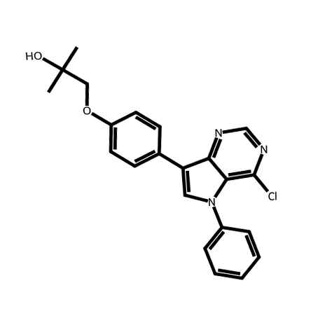 CC(C)(O)COc1ccc(-c2cn(-c3ccccc3)c3c(Cl)ncnc23)cc1